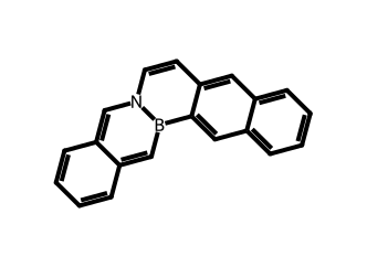 C1=CN2C=c3ccccc3=CB2c2cc3ccccc3cc21